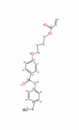 C=CC(=O)OCCCCOc1ccc(C(=O)Oc2ccc(CC(C)CC)cc2)cc1